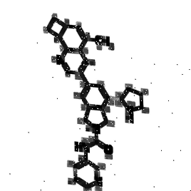 CC1=CC2CCC2c2ncc(-c3cc4c(c([C@@H]5CCCN5)c3)CN(C(=O)Nc3cccnc3)C4)cc21